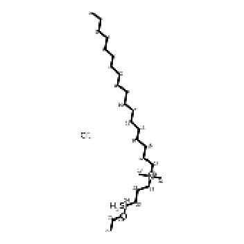 CCCCCCCCCCCCCCCCCC[N+](C)(C)CCC[SiH2]OCC.[Cl-]